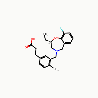 CC[C@@H]1CN(Cc2cc(CCC(=O)O)ccc2C)Cc2cccc(F)c2O1